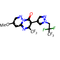 COc1cnn2c(=O)c(-c3cnn(CC(F)(F)C(F)(F)F)c3)c(C(F)(F)F)nc2c1